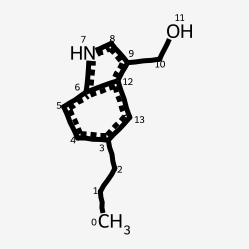 CCCc1ccc2[nH]cc(CO)c2c1